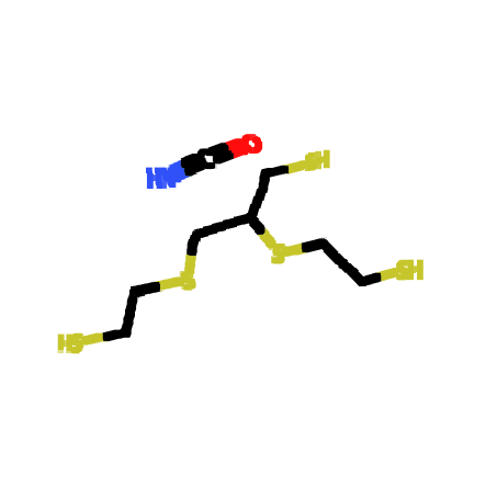 N=C=O.SCCSCC(CS)SCCS